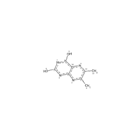 Cc1nc2nc(O)nc(O)c2nc1C